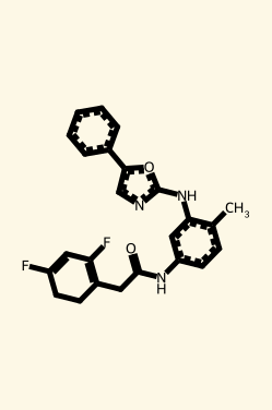 Cc1ccc(NC(=O)CC2=C(F)C=C(F)CC2)cc1Nc1ncc(-c2ccccc2)o1